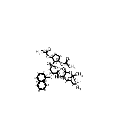 CCCC[C@H](NC(=O)[C@H](Cc1cccc2ccccc12)CS(=O)(=O)C1C(OC(C)=O)CCC1OC(C)=O)C(=O)OC(C)(C)C